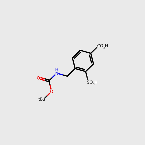 CC(C)(C)OC(=O)NCc1ccc(C(=O)O)cc1S(=O)(=O)O